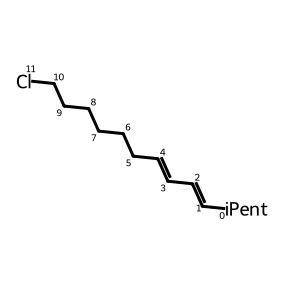 CCCC(C)/C=C/C=C/CCCCCCCl